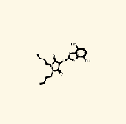 CCCCN1C(=O)[CH]([Ir][CH]2Sc3c(O)ccc(O)c3S2)C(=O)N1CCCC